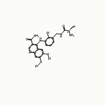 CCOc1cc2ncc(C(N)=O)c(Nc3cccc(CNC(=O)[C@H](N)C(C)C)c3CC)c2cc1OCC